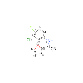 N#CC(Nc1ccc(F)c(Cl)c1)c1ccco1